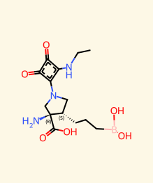 CCNc1c(N2C[C@H](CCCB(O)O)[C@](N)(C(=O)O)C2)c(=O)c1=O